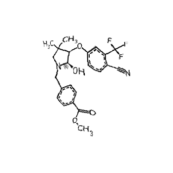 COC(=O)c1ccc(CN2CC(C)(C)C(Oc3ccc(C#N)c(C(F)(F)F)c3)[C@H]2O)cc1